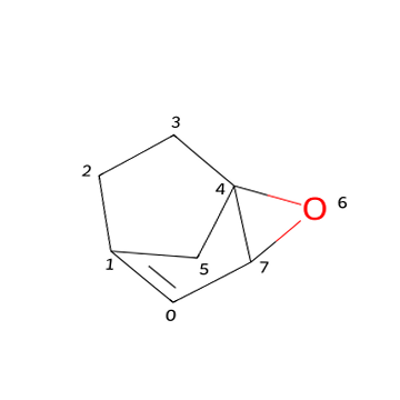 C1=C2CCC3(C2)OC13